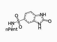 CCCCCNS(=O)(=O)c1ccc2[nH]c(=O)[nH]c2c1